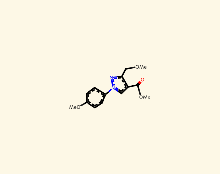 COCc1nn(-c2ccc(OC)cc2)cc1C(=O)OC